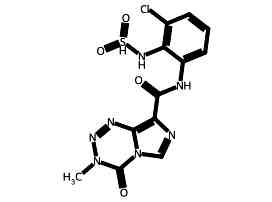 Cn1nnc2c(C(=O)Nc3cccc(Cl)c3N[SH](=O)=O)ncn2c1=O